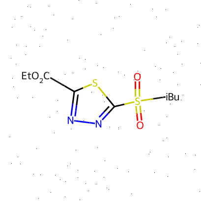 CCOC(=O)c1nnc(S(=O)(=O)C(C)CC)s1